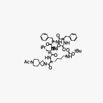 CC(=O)N1CCC2(CC1)CN(C(=O)[C@@H](CCCCNC(=O)OC(C)(C)C)NC(=O)[C@@H](CC(C)C)NC(=O)[C@@H](Cc1ccccc1)NC(=O)[C@@H](Cc1ccccc1)NC(=O)OC(C)(C)C)C2